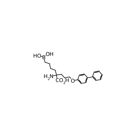 NC(CCCCB(O)O)(CCCOc1ccc(-c2ccccc2)cc1)C(=O)O